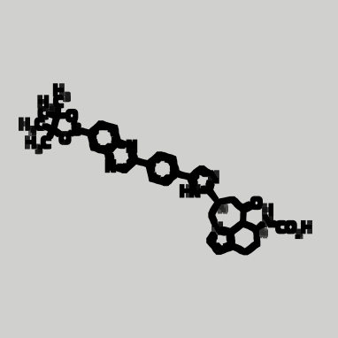 CC1(C)OB(c2ccc3nc(-c4ccc(-c5cnc([C@H]6CC(=O)C7c8c(ccn8C6)CC[C@@H]7NC(=O)O)[nH]5)cc4)cnc3c2)OC1(C)C